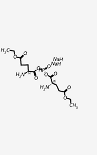 CCOC(=O)CC[C@H](N)C(=O)O[PH](=O)OC(=O)[C@@H](N)CCC(=O)OCC.[NaH].[NaH]